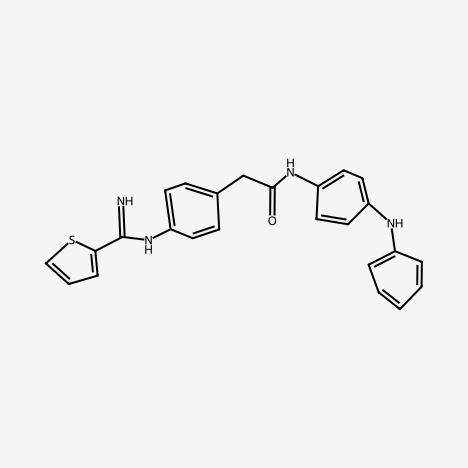 N=C(Nc1ccc(CC(=O)Nc2ccc(Nc3ccccc3)cc2)cc1)c1cccs1